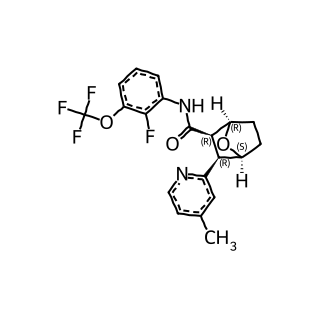 Cc1ccnc([C@H]2[C@@H](C(=O)Nc3cccc(OC(F)(F)F)c3F)[C@H]3CC[C@@H]2O3)c1